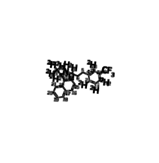 [2H]c1c([2H])c(CCC([2H])([2H])N[C@@]([2H])(c2cccc3ccccc23)C([2H])([2H])[2H])c([2H])c(C(F)(F)F)c1[2H]